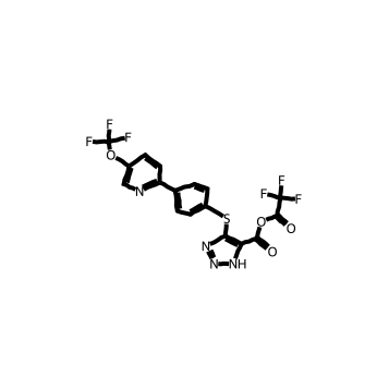 O=C(OC(=O)C(F)(F)F)c1[nH]nnc1Sc1ccc(-c2ccc(OC(F)(F)F)cn2)cc1